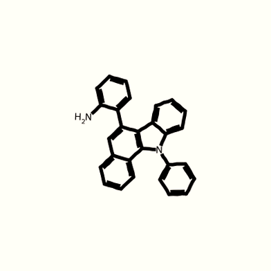 Nc1ccccc1-c1cc2ccccc2c2c1c1ccccc1n2-c1ccccc1